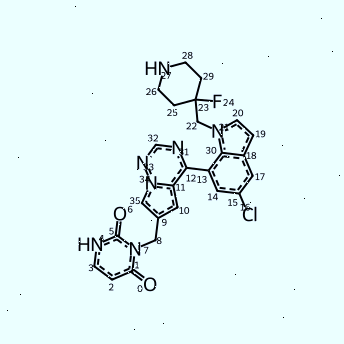 O=c1cc[nH]c(=O)n1Cc1cc2c(-c3cc(Cl)cc4ccn(CC5(F)CCNCC5)c34)ncnn2c1